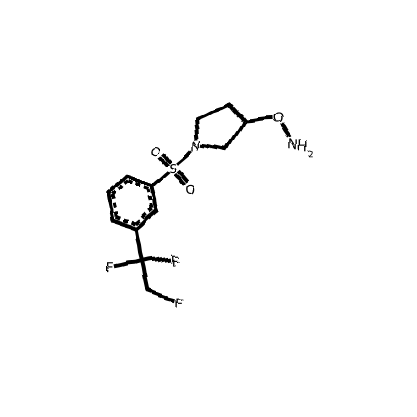 NOC1CCN(S(=O)(=O)c2cccc(C(F)(F)CF)c2)C1